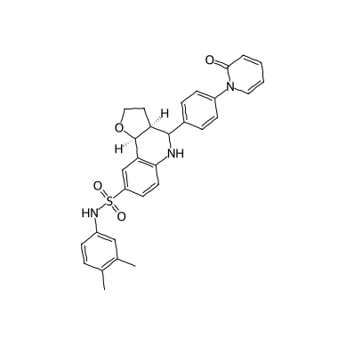 Cc1ccc(NS(=O)(=O)c2ccc3c(c2)[C@H]2OCC[C@H]2C(c2ccc(-n4ccccc4=O)cc2)N3)cc1C